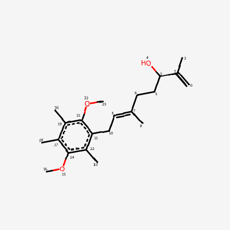 C=C(C)C(O)CC/C(C)=C/Cc1c(C)c(OC)c(C)c(C)c1OC